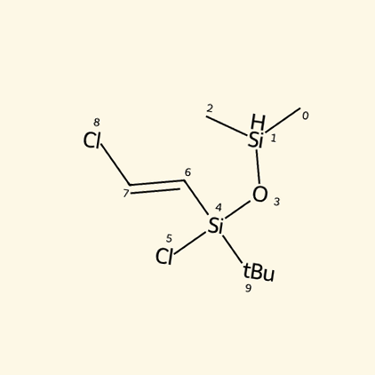 C[SiH](C)O[Si](Cl)(C=CCl)C(C)(C)C